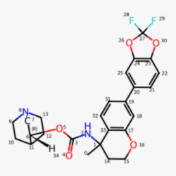 CC1(NC(=O)O[C@H]2CN3CCC2CC3)CCOc2cc(-c3ccc4c(c3)OC(F)(F)O4)ccc21